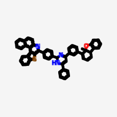 CC12Oc3ccccc3C1C=CC=C2c1cccc(C2=NC(c3ccc(-c4nc5ccc6ccccc6c5c5c4sc4ccccc45)cc3)NC(c3ccccc3)=C2)c1